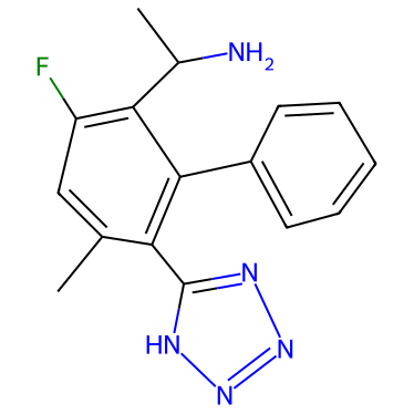 Cc1cc(F)c(C(C)N)c(-c2ccccc2)c1-c1nnn[nH]1